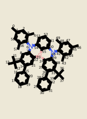 Cc1cc(C)c(N2c3cc(C(C)(C)C)c(-c4ccccc4)cc3B3c4cc(-c5ccccc5)c(C(C)(C)C)cc4N(c4c(C)cc(C)cc4C)c4cccc2c43)c(C)c1